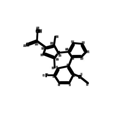 COc1ccc(F)cc1-c1ccccc1-n1c(C)cc(C(=O)O)c1C